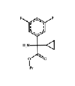 CC(C)OC(=O)C(N)(c1cc(F)cc(F)c1)C1CC1